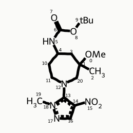 COC1(C)CC(NC(=O)OC(C)(C)C)CCN(c2c([N+](=O)[O-])cnn2C)C1